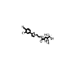 C[C@](O)(S)c1cc(C(=O)NCCn2ccc(-c3ccc(C#N)c(Cl)c3)n2)n[nH]1